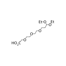 CCOC(CCOCCOCCOCC(=O)O)OCC